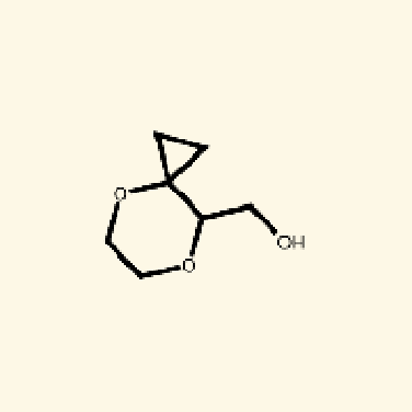 OCC1OCCOC12CC2